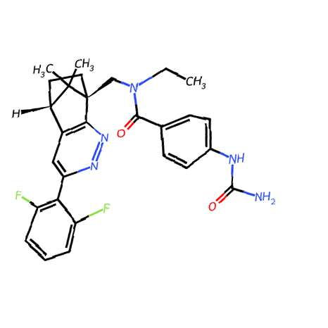 CCN(C[C@@]12CC[C@@H](c3cc(-c4c(F)cccc4F)nnc31)C2(C)C)C(=O)c1ccc(NC(N)=O)cc1